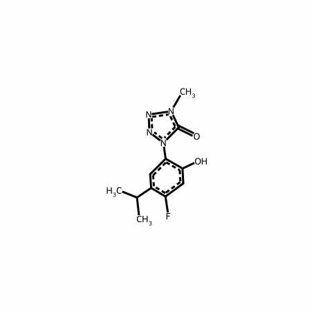 CC(C)c1cc(-n2nnn(C)c2=O)c(O)cc1F